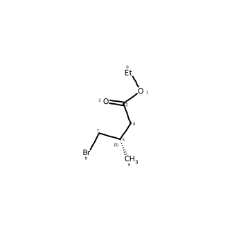 CCOC(=O)C[C@H](C)CBr